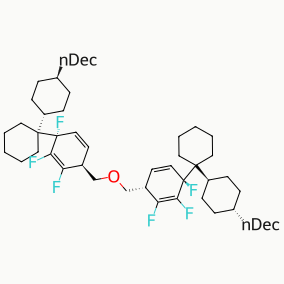 CCCCCCCCCC[C@H]1CC[C@H](C2([C@@]3(F)C=C[C@@H](COC[C@@H]4C=C[C@](F)(C5([C@H]6CC[C@H](CCCCCCCCCC)CC6)CCCCC5)C(F)=C4F)C(F)=C3F)CCCCC2)CC1